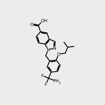 CC(C)COc1ccc(C(F)(F)P)cc1Cn1ncc2cc(C(=O)O)ccc21